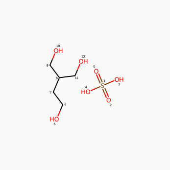 O=S(=O)(O)O.OCCC(CO)CO